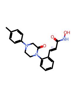 Cc1ccc(N2CCN(c3ccccc3/C=C/C(=O)NO)C(=O)C2)cc1